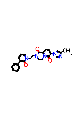 Cc1cn(-c2ccc3n(c2=O)CCN(CCn2cccc(-c4ccccc4)c2=O)C3=O)cn1